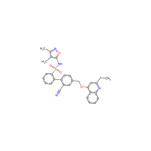 CCc1cc(OCc2ccc(-c3ccccc3S(=O)(=O)Nc3onc(C)c3C)c(C#N)c2)c2ccccc2n1